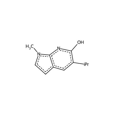 CC(C)c1cc2ccn(C)c2nc1O